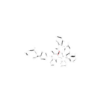 c1ccc(-c2ccc(N(c3ccc(-c4ccccc4)cc3)c3ccccc3-c3cccc4c3-c3ccccc3C4(c3ccccc3)c3ccccc3)cc2)cc1